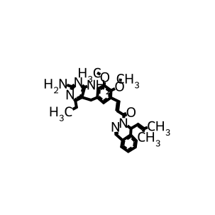 CCc1nc(N)nc(N)c1Cc1cc(C=CC(=O)N2N=Cc3ccccc3C2C=C(C)C)c(OC)c(OC)c1